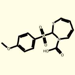 COc1ccc(S(=O)(=O)C2SC=CC=CN2C(=O)O)cc1